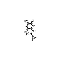 CC(C)[C@H](Nc1nc(Cl)c(C#N)cc1F)C1CC1